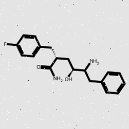 NC(=O)[C@H](Cc1ccc(F)cc1)C[C@H](O)C(N)Cc1ccccc1